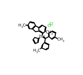 Cc1cccc([C](c2cccc(C)c2)=[Zr+2]([C]2=CC=CC2)[c]2c(C)ccc3c2Cc2cc(C)ccc2-3)c1.[Cl-].[Cl-]